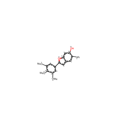 CCCc1cc2cc(-c3cc(OC)c(OC)c(OC)c3)oc2cc1O